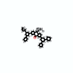 CCC1(CC)c2ccc(-c3cc(-c4ccccc4)cc(-c4ccccc4)c3)cc2C(=O)c2cc(-c3cc(-c4ccccc4)cc(-c4ccccc4)c3)ccc21